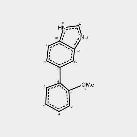 COc1ccccc1-c1ccc2[nH]cnc2c1